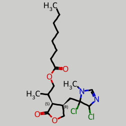 CCCCCCCC(=O)OCC(C)[C@@H]1C(=O)OC[C@@H]1CC1(Cl)C(Cl)N=CN1C